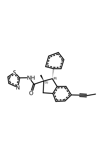 CC#Cc1ccc2c(c1)[C@@H](c1ccccc1)[C@@](C)(C(=O)Nc1nccs1)C2